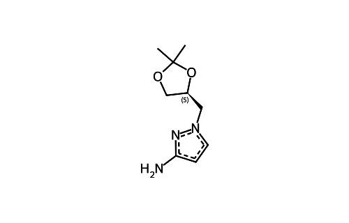 CC1(C)OC[C@H](Cn2ccc(N)n2)O1